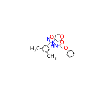 Cc1cc(C)cc(C2=NOC3(CCOCC3)N2NC(=O)COc2ccccc2)c1